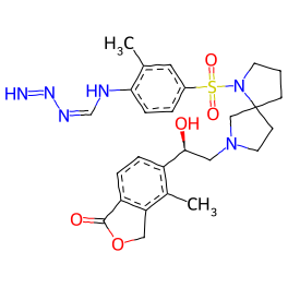 Cc1cc(S(=O)(=O)N2CCCC23CCN(C[C@H](O)c2ccc4c(c2C)COC4=O)C3)ccc1N/C=N\N=N